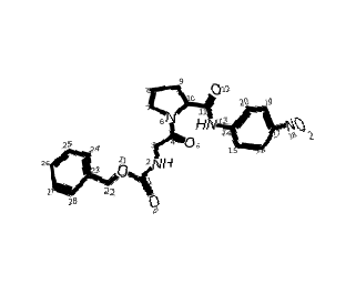 O=C(NCC(=O)N1CCCC1C(=O)Nc1ccc([N+](=O)[O-])cc1)OCc1ccccc1